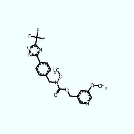 COc1cncc(COC(=O)N(Cc2ccc(-c3noc(C(F)(F)F)n3)cc2)OC)c1